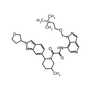 CC1CCC(c2ccc3cn(C4CCOC4)nc3c2)N(C(=O)C(=O)Nc2cncc3cnn(COCC[Si](C)(C)C)c23)C1